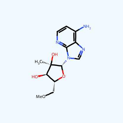 COC[C@H]1O[C@@H](n2cnc3c(N)ccnc32)[C@](C)(O)[C@@H]1O